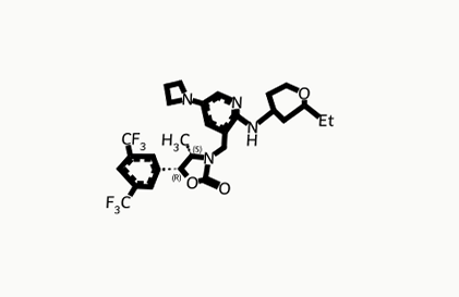 CCC1CC(Nc2ncc(N3CCC3)cc2CN2C(=O)O[C@H](c3cc(C(F)(F)F)cc(C(F)(F)F)c3)[C@@H]2C)CCO1